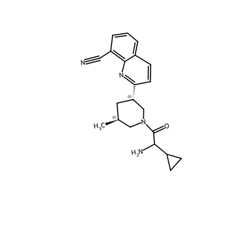 C[C@H]1C[C@H](c2ccc3cccc(C#N)c3n2)CN(C(=O)C(N)C2CC2)C1